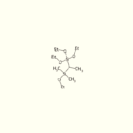 CCO[Si](C)(C)C(C)[Si](OCC)(OCC)OCC